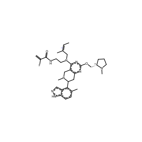 C=C(F)C(=O)NCCN(C/C(C)=C\C)c1nc(OC[C@@H]2CCCN2C)nc2c1CN(C)C(c1c(C)ccc3[nH]ncc13)C2